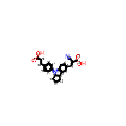 N#C/C(=C\c1ccc2c(c1)C1CCCC1N2c1ccc(CCC(=O)O)cc1)C(=O)O